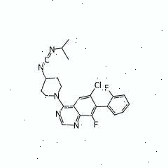 CC(C)N=C=NC1CCN(c2ncnc3c(F)c(-c4ccccc4F)c(Cl)cc23)CC1